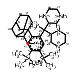 C[Si](C)(C)c1cc(C23CC4CC(CC(C4)C2CP)C3)c(C(P)(C2CNCCN2)C2CNCCN2)cc1[Si](C)(C)C